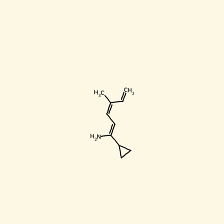 C=C/C(C)=C\C=C(/N)C1CC1